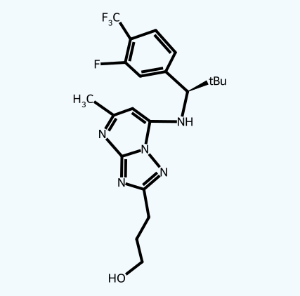 Cc1cc(N[C@@H](c2ccc(C(F)(F)F)c(F)c2)C(C)(C)C)n2nc(CCCO)nc2n1